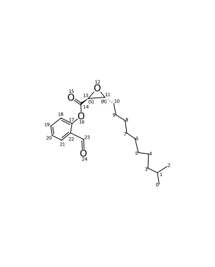 CC(C)CCCCCCCC[C@H]1O[C@@H]1C(=O)Oc1ccccc1C=O